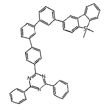 C[Si]1(C)c2ccccc2-c2cc(-c3cccc(-c4cccc(-c5ccc(-c6nc(-c7ccccc7)nc(-c7ccccc7)n6)cc5)c4)c3)ccc21